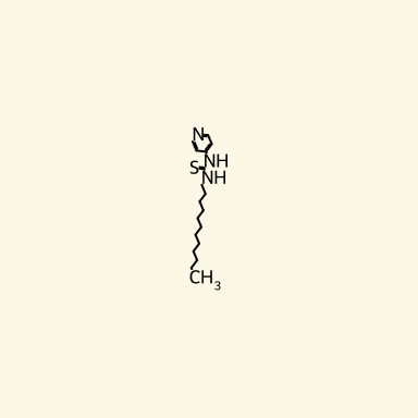 CCCCCCCCCCCCNC(=S)Nc1ccncc1